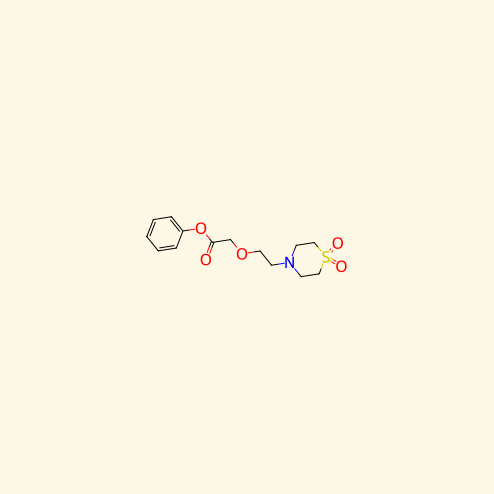 O=C(COCCN1CCS(=O)(=O)CC1)Oc1ccccc1